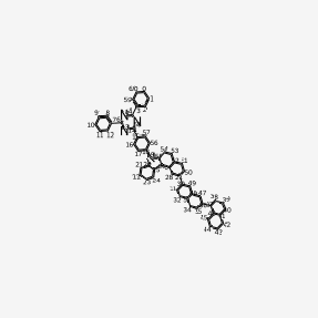 c1ccc(-c2nc(-c3ccccc3)nc(-c3ccc(-n4c5ccccc5c5c6cc(-c7ccc8ccc(-c9cccc%10ccccc9%10)cc8c7)ccc6ccc54)cc3)n2)cc1